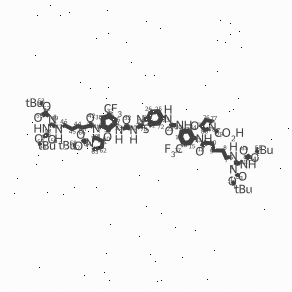 CC(C)(C)OC(=O)N=C(NCCCCC(=O)Nc1cc(C(F)(F)F)cc(NC(=O)Nc2ccc3nc(NC(=O)Nc4cc(C(F)(F)F)cc(NC(=O)CCCCNC(=NC(=O)OC(C)(C)C)NC(=O)OC(C)(C)C)c4O[C@@H]4CCN(C(=O)OC(C)(C)C)C4)sc3c2)c1O[C@@H]1CCN(C(=O)O)C1)NC(=O)OC(C)(C)C